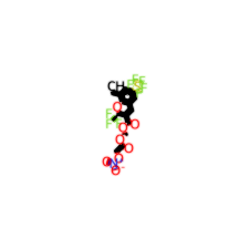 CCc1cc(S(F)(F)(F)(F)F)cc2c1O[C@H](C(F)(F)F)C(C(=O)OCOC(=O)CO[N+](=O)[O-])=C2